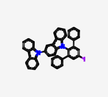 Ic1cc(-c2ccccc2)c(-n2c3ccccc3c3cc(-n4c5ccccc5c5ccccc54)ccc32)c(-c2ccccc2)c1